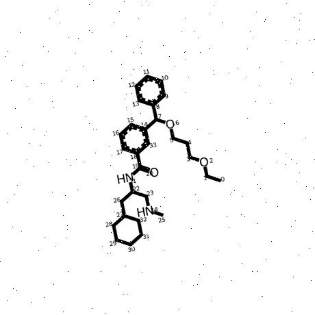 CCOCCCOC(c1ccccc1)c1cccc(C(=O)NC(CNC)CC2CCCCC2)c1